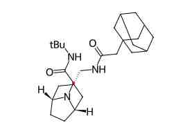 CC(C)(C)NC(=O)CN1[C@@H]2CC[C@H]1C[C@@H](CNC(=O)CC13CC4CC(CC(C4)C1)C3)C2